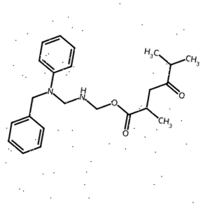 CC(C)C(=O)CC(C)C(=O)OCNCN(Cc1ccccc1)c1[c]cccc1